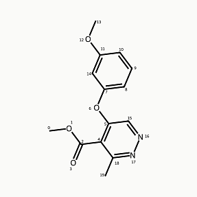 COC(=O)c1c(Oc2cccc(OC)c2)cnnc1C